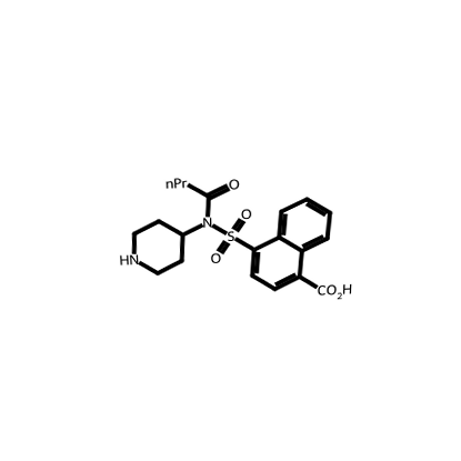 CCCC(=O)N(C1CCNCC1)S(=O)(=O)c1ccc(C(=O)O)c2ccccc12